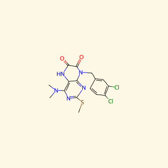 CSc1nc(N(C)C)c2[nH]c(=O)c(=O)n(Cc3ccc(Cl)c(Cl)c3)c2n1